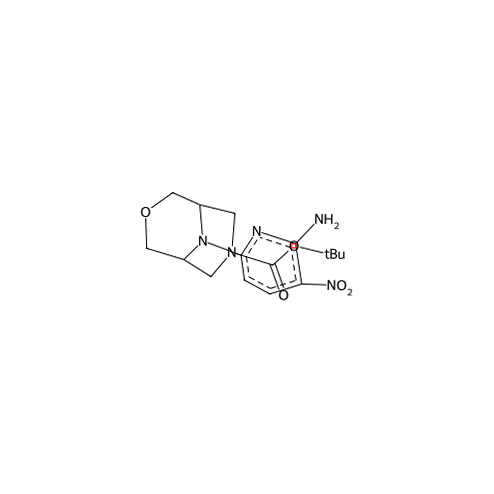 CC(C)(C)OC(=O)N1CC2COCC(C1)N2c1ccc([N+](=O)[O-])c(N)n1